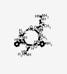 CC(=O)N[C@@H](CCCNC(=N)N)C(=O)N[C@H]1CCC(=O)NCCCC(C(N)=O)NC(=O)[C@H](Cc2c[nH]c3ccccc23)NC(=O)[C@H](CCCNC(=N)N)NC(=O)[C@@H](Cc2ccc(N)cc2)NC(=O)[C@H](C)NC1=O